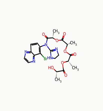 C[C@H](O)C(=O)O[C@@H](C)C(=O)O[C@@H](C)C(=O)O[C@@H](C)C(=O)N(C1=NCCN1)c1ccc2nccnc2c1Br